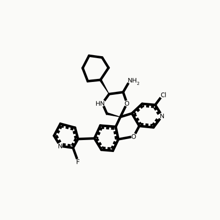 NC1O[C@@]2(CN[C@H]1C1CCCCC1)c1cc(-c3cccnc3F)ccc1Oc1cnc(Cl)cc12